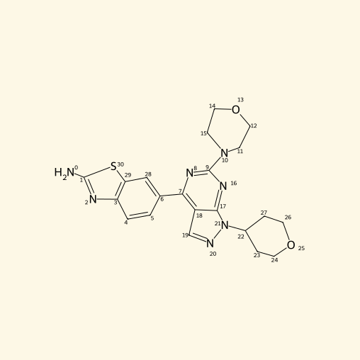 Nc1nc2ccc(-c3nc(N4CCOCC4)nc4c3cnn4C3CCOCC3)cc2s1